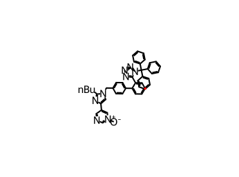 CCCCc1nc(-c2cnc[n+]([O-])c2)cn1Cc1ccc(-c2ccccc2-c2nnnn2C(c2ccccc2)(c2ccccc2)c2ccccc2)cc1